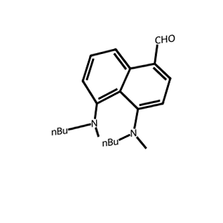 CCCCN(C)c1cccc2c(C=O)ccc(N(C)CCCC)c12